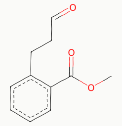 COC(=O)c1ccccc1CCC=O